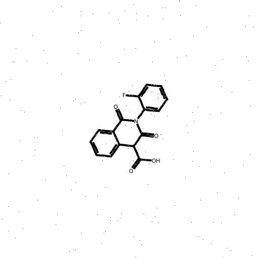 O=C(O)C1C(=O)N(c2ccccc2F)C(=O)c2ccccc21